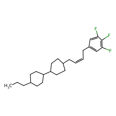 CCCC1CCC(C2CCC(C/C=C\Cc3cc(F)c(F)c(F)c3)CC2)CC1